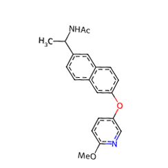 COc1ccc(Oc2ccc3cc(C(C)NC(C)=O)ccc3c2)cn1